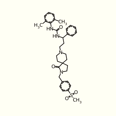 Cc1cccc(C)c1NC(=O)NC(CCN1CCC2(CC1)CCN(Cc1ccc(S(C)(=O)=O)cc1)C2=O)c1ccccc1